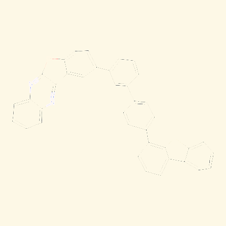 c1cc(-c2ccc(-c3cccc4c3sc3ccccc34)cc2)cc(-c2ccc3oc4nc5ccccc5nc4c3c2)c1